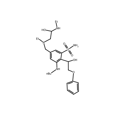 CCCCNc1cc(CN(CC)CC(O)NCC)cc(S(N)(=O)=O)c1C(O)COc1ccccc1